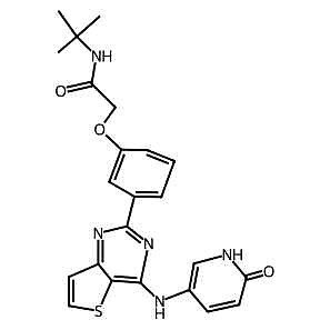 CC(C)(C)NC(=O)COc1cccc(-c2nc(Nc3ccc(=O)[nH]c3)c3sccc3n2)c1